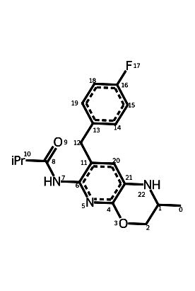 CC1COc2nc(NC(=O)C(C)C)c(Cc3ccc(F)cc3)cc2N1